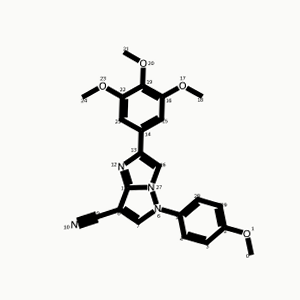 COc1ccc(-n2cc(C#N)c3nc(-c4cc(OC)c(OC)c(OC)c4)cn32)cc1